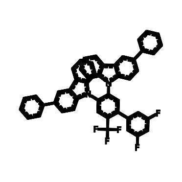 Fc1cc(F)cc(-c2cc(-n3c4ccccc4c4cc(-c5ccccc5)ccc43)c(-n3c4ccccc4c4cc(-c5ccccc5)ccc43)cc2C(F)(F)F)c1